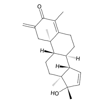 C=C1C[C@@]2(C)C(=C(C)C1=O)CC[C@@H]1[C@@H]2CC[C@@]2(C)[C@H]1C=C[C@]2(C)O